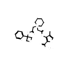 COC(=O)c1scc(C)c1NC(=O)C[N+]1(CC(=O)NC2(c3ccccc3)COC2)CCCCC1